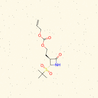 C=CCOC(=O)OCC[C@H]1C(=O)N[C@@H]1S(=O)(=O)C(C)(C)C